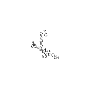 C[C@]1(O)CC[C@H]([C@H]2COc3cc(SNC(=O)c4ccc(N5CCC6(CC5)CC(N5CCC[C@@H]5c5ccccc5C5CC5)C6)cc4Oc4cnc5[nH]ccc5c4)cc(N=O)c3S2)CC1